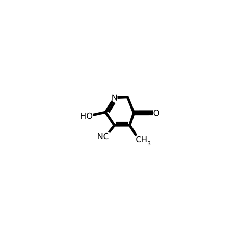 CC1=C(C#N)C(O)=NCC1=O